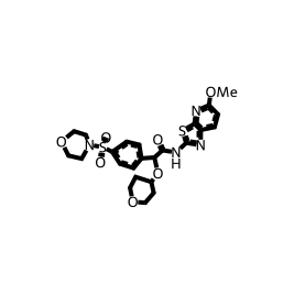 COc1ccc2nc(NC(=O)C(OC3CCOCC3)c3ccc(S(=O)(=O)N4CCOCC4)cc3)sc2n1